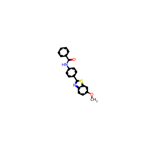 COc1ccc2nc(-c3ccc(NC(=O)c4ccccc4)cc3)sc2c1